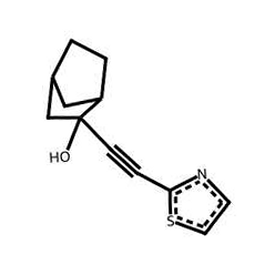 OC1(C#Cc2nccs2)CC2CCC1C2